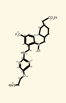 CCOC(=O)CC1CCC(CN(CC)c2ccc(C(F)(F)F)cc2CNc2ncc(OCCSC)cn2)CC1